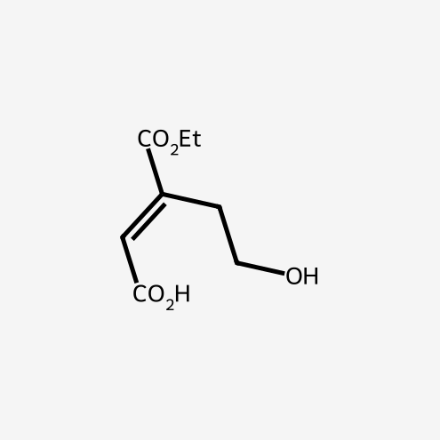 CCOC(=O)C(=CC(=O)O)CCO